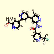 CNC(=O)c1cc(-c2cc(-c3cc(NC(=O)c4ccnc(C(C)(C)F)c4)ncc3C)ccn2)ccn1